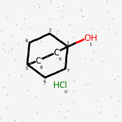 Cl.OC12CCC(CC1)CC2